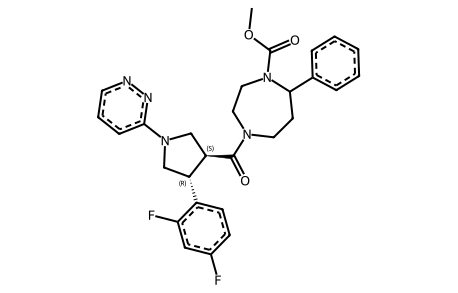 COC(=O)N1CCN(C(=O)[C@@H]2CN(c3cccnn3)C[C@H]2c2ccc(F)cc2F)CCC1c1ccccc1